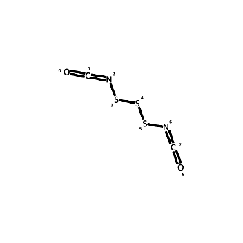 O=C=NSSSN=C=O